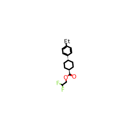 CCc1ccc([C@H]2CC[C@H](C(=O)OCC(F)F)CC2)cc1